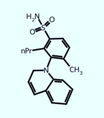 CCCc1c(S(N)(=O)=O)ccc(C)c1N1CC=Cc2ccccc21